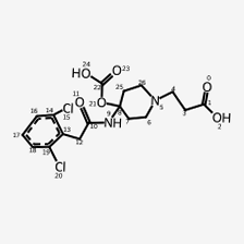 O=C(O)CCN1CCC(NC(=O)Cc2c(Cl)cccc2Cl)(OC(=O)O)CC1